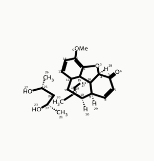 COC1=C2O[C@H]3C(=O)C=C[C@H]4[C@H]5CC(C=C1)C2[C@@]34CCN5C.C[C@H](O)C[C@@H](C)O